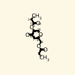 CCC(=O)OCc1cc(=O)c(OC(=O)CC)co1